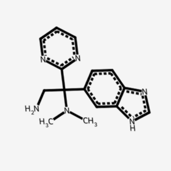 CN(C)C(CN)(c1ccc2nc[nH]c2c1)c1ncccn1